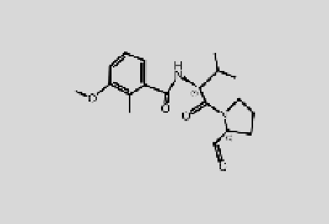 COc1cccc(C(=O)N[C@H](C(=O)N2CCC[C@H]2C=O)C(C)C)c1C